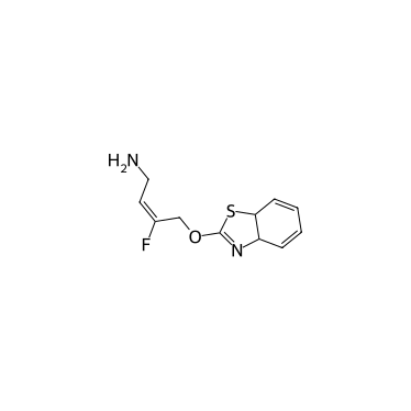 NC/C=C(/F)COC1=NC2C=CC=CC2S1